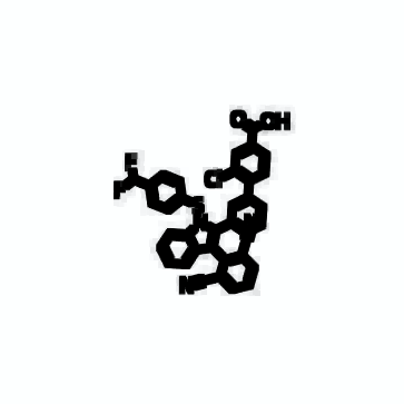 N#Cc1cccc(C#N)c1-c1c(-c2cccc(-c3ccc(C(=O)O)cc3Cl)c2)n(Sc2ccc(C(F)F)cc2)c2ccccc12